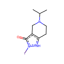 CC(C)N1CCc2[nH]n(I)c(=O)c2C1